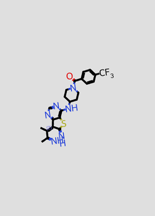 CC(=N)/C(C)=C1\C(=N)Sc2c(NC3CCN(C(=O)c4ccc(C(F)(F)F)cc4)CC3)ncnc21